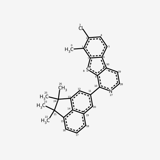 Cc1c(Cl)ccc2c1sc1c(-c3cc4c5c(cccc5c3)C(C)(C)C4(C)C)nccc12